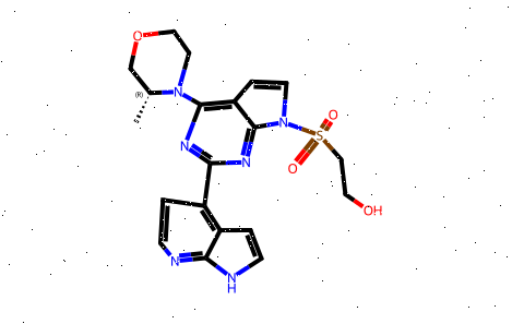 C[C@@H]1COCCN1c1nc(-c2ccnc3[nH]ccc23)nc2c1ccn2S(=O)(=O)CCO